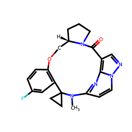 CN1c2ccn3ncc(c3n2)C(=O)N2CCC[C@H]2COc2ccc(F)cc2C12CC2